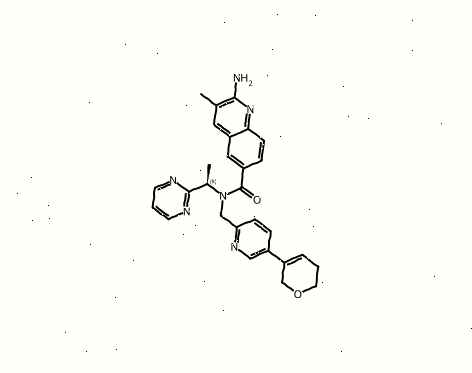 Cc1cc2cc(C(=O)N(Cc3ccc(C4=CCCOC4)cn3)[C@H](C)c3ncccn3)ccc2nc1N